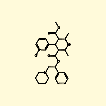 COC(=O)C1=C(C)NC(C)=C(C(=O)OC(CN2CCCCC2)c2ccccc2)C1c1ccc[n+]([O-])c1